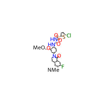 CNc1cc2ccn(-c3ccc(NC(=O)NS(=O)(=O)c4ccc(Cl)s4)c(OCOC)c3)c(=O)c2cc1F